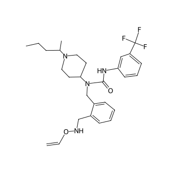 C=CONCc1ccccc1CN(C(=O)Nc1cccc(C(F)(F)F)c1)C1CCN(C(C)CCC)CC1